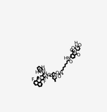 C#Cc1c(F)ccc2cccc(-c3ncc4c(N5C[C@H]6CC[C@@H](C5)N6)nc(OC[C@@]56CC[C@H](OC(=O)N(C)CCCCCCCC(=O)Nc7ccc8c(c7)C(=O)N(C7CCC(=O)NC7=O)C8=O)N5CC(=C)C6)nc4c3F)c12